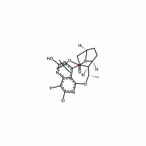 C[C@@H]1Oc2nc(Cl)c(F)c3nc(O)nc(c23)N2C[C@H]3CC[C@@H]([C@@H]12)N3C(=O)OC(C)(C)C